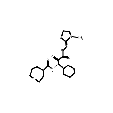 CN1CCS/C1=N\NC(=O)C(=O)[C@@H](NC(=O)C1CCCCCC1)C1CCCCC1